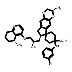 C[C@@H](COc1ccnc2c1[C@H](C)CCC2)C[C@H]1Cc2cc3c(cc2C12CCC(Nc1cccc(Cl)c1)(C(=O)O)CC2)O[C@@H](C)CO3